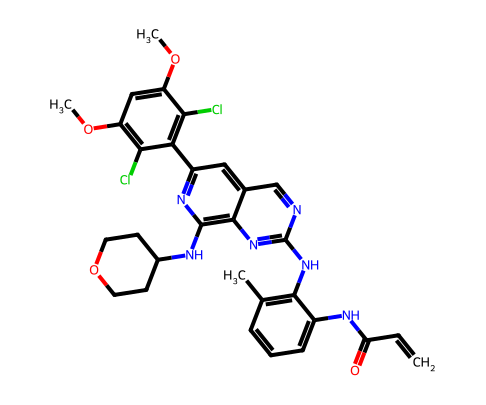 C=CC(=O)Nc1cccc(C)c1Nc1ncc2cc(-c3c(Cl)c(OC)cc(OC)c3Cl)nc(NC3CCOCC3)c2n1